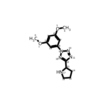 COc1cc(OC)cc(-n2nnc(C3CCCN3)n2)c1